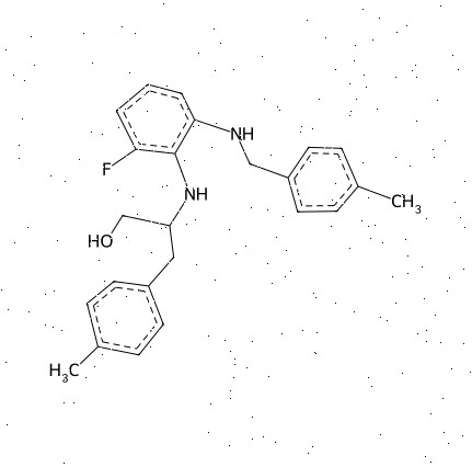 Cc1ccc(CNc2cccc(F)c2NC(CO)Cc2ccc(C)cc2)cc1